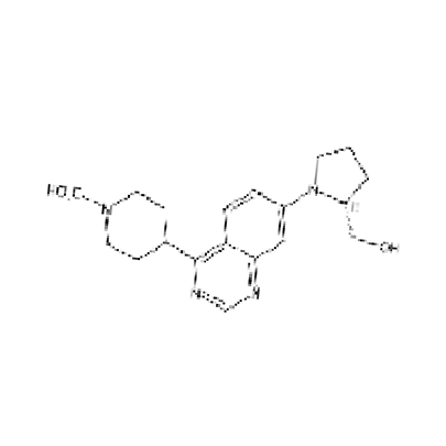 O=C(O)N1CCC(c2ncnc3cc(N4CCC[C@@H]4CO)ccc23)CC1